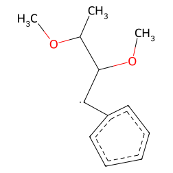 COC(C)C([CH]c1ccccc1)OC